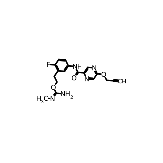 C#CCOc1cnc(C(=O)Nc2ccc(F)c(CCO/C(N)=N\C)c2)cn1